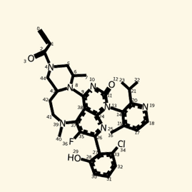 C=CC(=O)N1CC(C)N2c3nc(=O)n(-c4c(C)ccnc4C(C)C)c4nc(-c5c(O)cccc5Cl)c(F)c(c34)N(C)CCC2C1